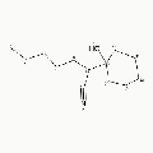 CCCCCC(C#N)C1(O)CCCCC1